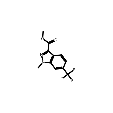 COC(=O)c1nn(C)c2cc(C(F)(F)F)ccc12